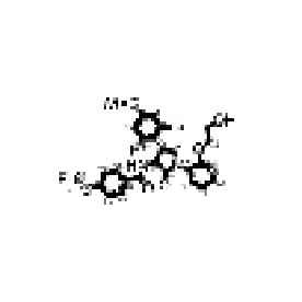 COc1cc(F)c([C@@H]2CN(c3cccnc3OCCO)C(=O)C2NC(=O)c2ccc(OC(F)(F)F)cc2)c(F)c1